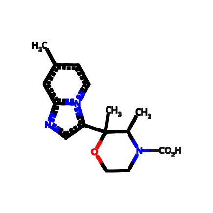 Cc1ccn2c(C3(C)OCCN(C(=O)O)C3C)cnc2c1